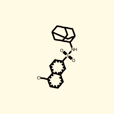 O=S(=O)(NC1C2CC3CC(C2)CC1C3)c1ccc2c(Cl)cccc2c1